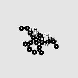 CCC(CC)(c1cc(C)cc(C)c1)c1c(-c2ccc(-c3cc(C)c(-c4cccc(-c5ccccc5)c4)cn3)cc2-c2ccc3c(c2)c2ccccc2n3-c2ccccc2)cccc1-c1ccc(-c2cc(C)c(-c3cccc(-c4ccccc4)c3)cn2)cc1-c1ccc2c(c1)c1ccccc1n2-c1ccccc1